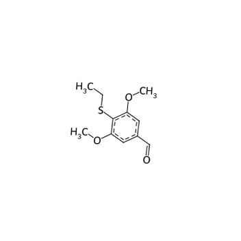 CCSc1c(OC)cc(C=O)cc1OC